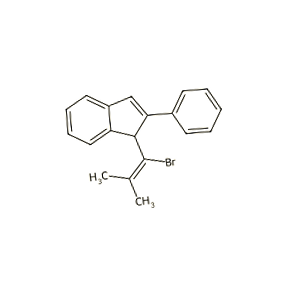 CC(C)=C(Br)C1C(c2ccccc2)=Cc2ccccc21